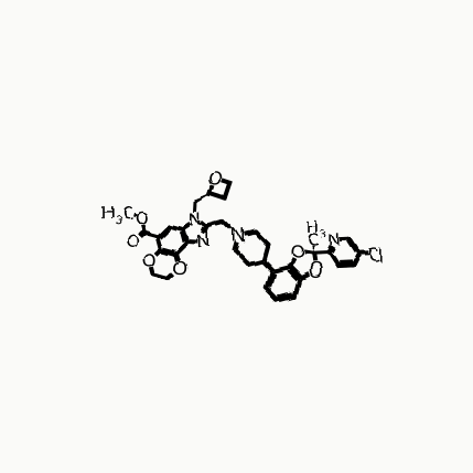 COC(=O)c1cc2c(nc(CN3CCC(c4cccc5c4O[C@@](C)(c4ccc(Cl)cn4)O5)CC3)n2C[C@@H]2CCO2)c2c1OCCO2